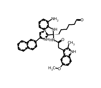 COc1ccc2[nH]c(C)c(CC(=O)N[C@](CCCCCC=O)(Nc3ccccc3N)c3ncc(-c4ccc5ccccc5c4)[nH]3)c2c1